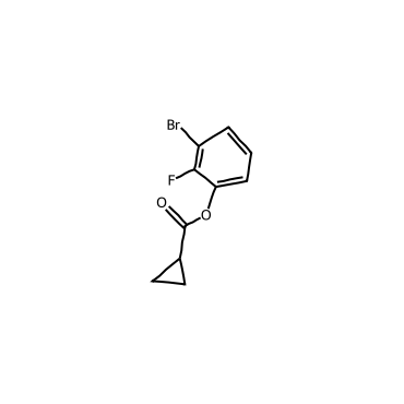 O=C(Oc1cccc(Br)c1F)C1CC1